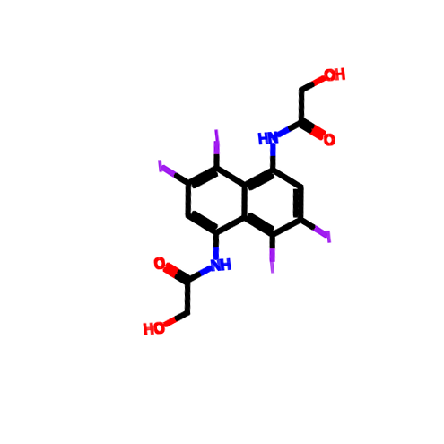 O=C(CO)Nc1cc(I)c(I)c2c(NC(=O)CO)cc(I)c(I)c12